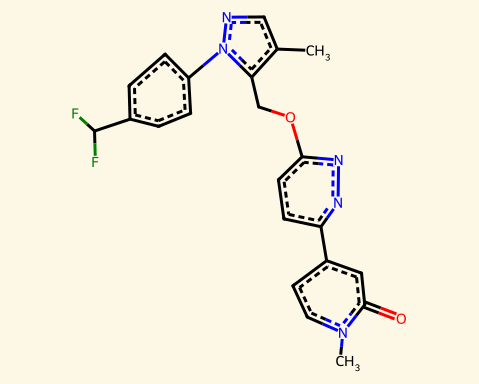 Cc1cnn(-c2ccc(C(F)F)cc2)c1COc1ccc(-c2ccn(C)c(=O)c2)nn1